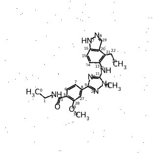 CCNC(=O)c1ccc(-c2nc(Nc3ccc4[nH]ncc4c3CC)n(C)n2)cc1OC